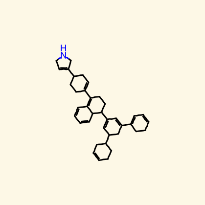 C1=CCCC(C2=CC(C3CCC(C4=CCC(C5=CCNC5)CC4)=C4C=CC=CC43)=CC(C3CC=CCC3)C2)=C1